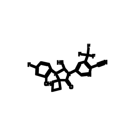 N#Cc1ncc(N2C(=O)C3(CCC3)N(c3ccc(F)cc3O)C2S)cc1C(F)(F)F